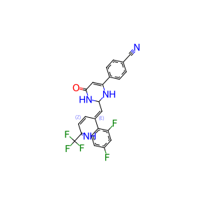 N#Cc1ccc(C2=CC(=O)NC(/C=C(\C=C/C(=N)C(F)(F)F)c3ccc(F)cc3F)N2)cc1